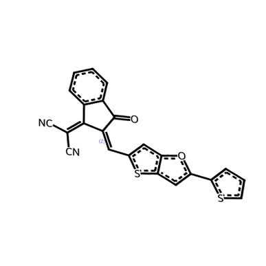 N#CC(C#N)=C1/C(=C/c2cc3oc(-c4cccs4)cc3s2)C(=O)c2ccccc21